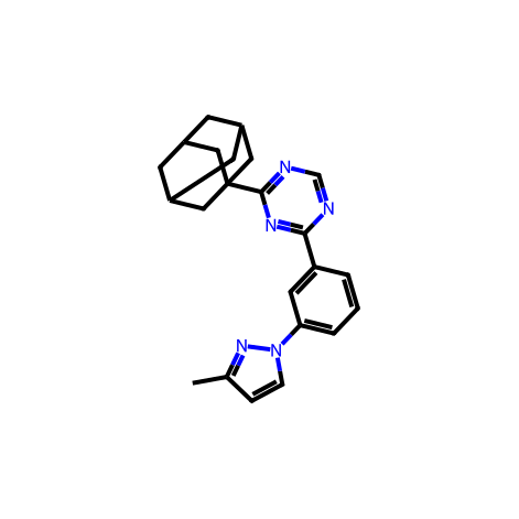 Cc1ccn(-c2cccc(-c3ncnc(C45CC6CC(CC(C6)C4)C5)n3)c2)n1